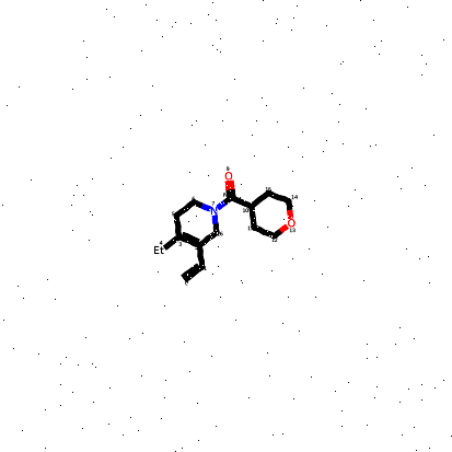 C=CC1=C(CC)CCN(C(=O)C2CCOCC2)C1